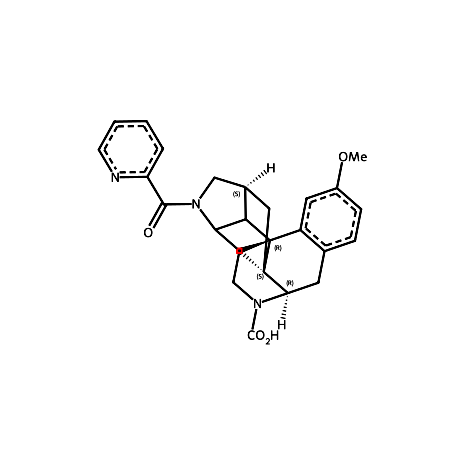 COc1ccc2c(c1)[C@]13CCN(C(=O)O)[C@H](C2)[C@]12CCC1C3[C@@H](CN1C(=O)c1ccccn1)C2